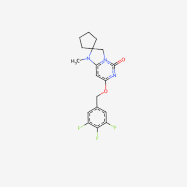 CN1c2cc(OCc3cc(F)c(F)c(F)c3)nc(=O)n2CC12CCCC2